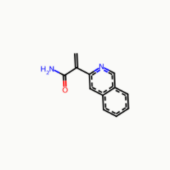 C=C(C(N)=O)c1cc2ccccc2cn1